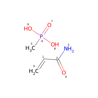 C=CC(N)=O.CP(=O)(O)O